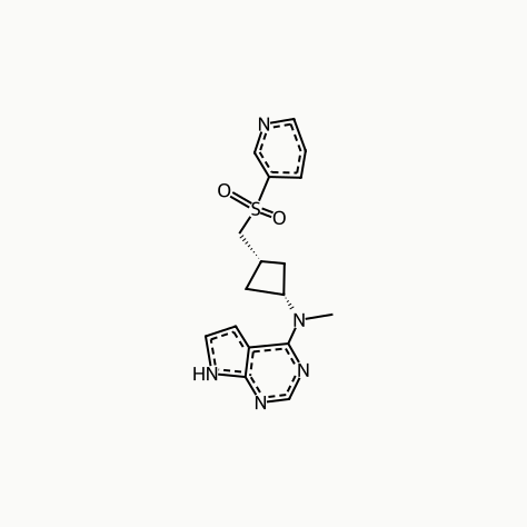 CN(c1ncnc2[nH]ccc12)[C@H]1C[C@@H](CS(=O)(=O)c2cccnc2)C1